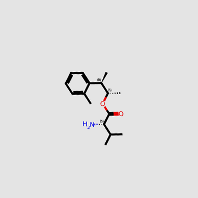 Cc1ccccc1[C@@H](C)[C@H](C)OC(=O)[C@@H](N)C(C)C